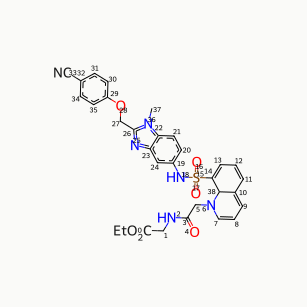 CCOC(=O)CNC(=O)CN1C=CC=C2C=CC=C(S(=O)(=O)Nc3ccc4c(c3)nc(COc3ccc(C#N)cc3)n4C)C21